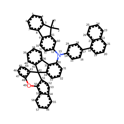 CC1(C)c2ccccc2-c2ccc(N(c3ccc(-c4cccc5ccccc45)cc3)c3cccc4c3-c3ccccc3C43c4ccccc4Oc4c3ccc3ccccc43)cc21